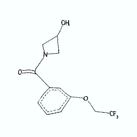 O=C(c1cccc(OCC(F)(F)F)c1)N1CC(O)C1